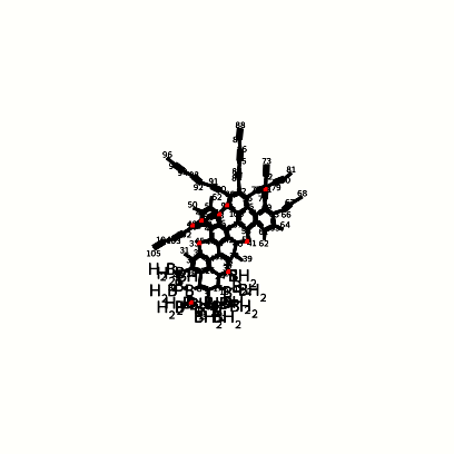 BBB(B)B(B(B)B)C1=C(B(B(B)B)B(B)B)C(B(BB)B(B)B)C(C)c2c1c(B)c(C)c(C)c2C1=C(C)C(C)C(C)c2c1c(C)c1c(C)c(C)c(C)c(C)c1c2-c1c(C)c2c(C)c(C)c(C#CC)c(C#CC#C)c2c2c(C#CC#CC)c(C#CC#CC#C)c(C#CC#CC#CC)c(C#CC#CC#CC#C)c12